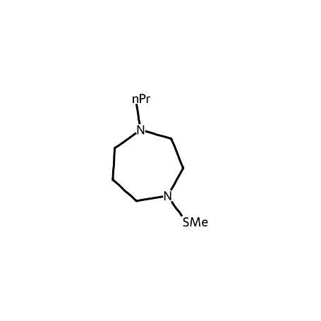 CCCN1CCCN(SC)CC1